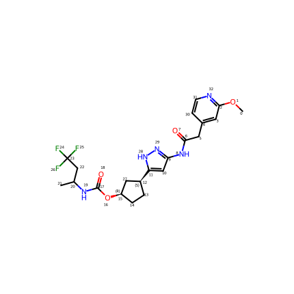 COc1cc(CC(=O)Nc2cc([C@H]3CC[C@@H](OC(=O)NC(C)CC(F)(F)F)C3)[nH]n2)ccn1